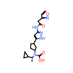 C[C@@H](C1CC1)N(C(=O)O)C1CCC(c2cc(NC(=O)Cc3ccon3)n[nH]2)C1